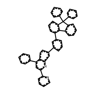 c1ccc(-c2cc(-c3ccccn3)nc3cc(-c4cccc(-c5cccc6c5-c5ccccc5C6(c5ccccc5)c5ccccc5)c4)ccc23)cc1